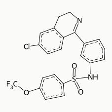 O=S(=O)(Nc1cccc(C2=NCCc3cc(Cl)ccc32)c1)c1ccc(OC(F)(F)F)cc1